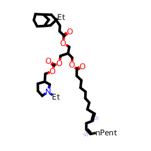 CCCCC/C=C\C/C=C\CCCCCCCC(=O)OCC(COC(=O)CCC1(CC)CC2CCCC(C2)C1)COC(=O)OCC1CCCN(CC)C1